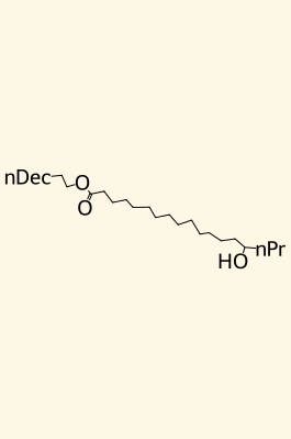 CCCCCCCCCCCCOC(=O)CCCCCCCCCCCCCC(O)CCC